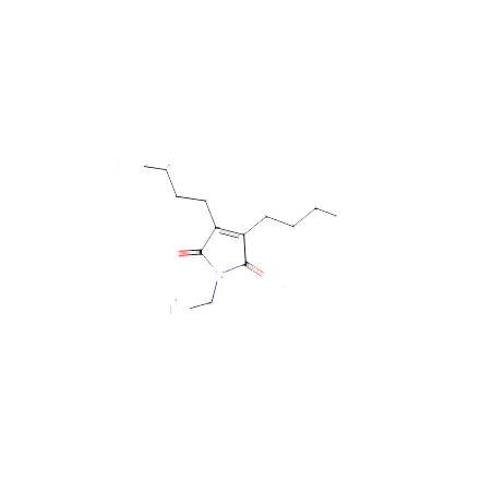 CCCCC1=C(CCCC)C(=O)N(CC)C1=O